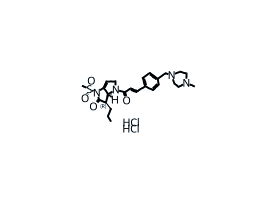 CCC[C@H]1C(=O)N(S(C)(=O)=O)C2=CCN(C(=O)C=Cc3ccc(CN4CCN(C)CC4)cc3)[C@@H]21.Cl.Cl